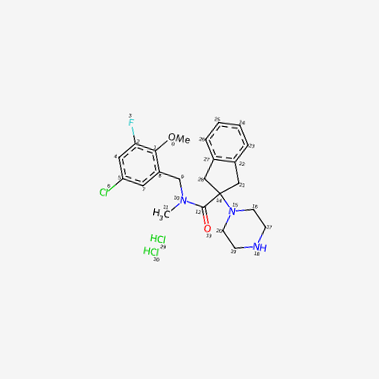 COc1c(F)cc(Cl)cc1CN(C)C(=O)C1(N2CCNCC2)Cc2ccccc2C1.Cl.Cl